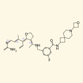 C=CC(=C1/OCC/C1=C(/C)NCc1cc(F)cc(C(=O)NC2CC3(CCN(C4COC4)CC3)C2)c1)/C(C)=C/C=N\C(=C)N